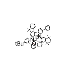 CC(C)(C)c1ccc(N2c3cc4c(c5c3B(c3c2oc2ccccc32)N(c2ccc3c(c2)C(C)(C)CCC3(C)C)c2cc(-c3ccccc3)ccc2-5)-c2ccccc2C4(C)C)c(-c2ccccc2)c1